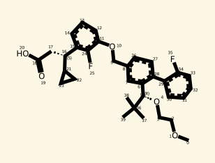 COCCO[C@@H](c1cc(COc2cccc([C@@H](CC(=O)O)C3CC3)c2F)ccc1-c1ccccc1F)C(C)(C)C